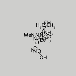 CCc1c(OCc2cnnc(OCCO)c2)nc(NC)nc1N(COCC[Si](C)(C)C)[C@H](C)C(N)CC